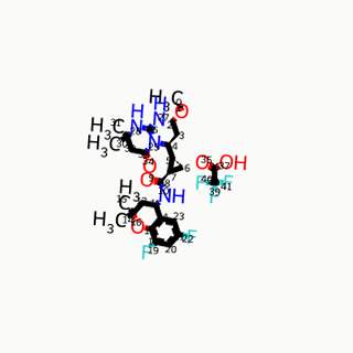 COCC[C@@H]([C@@H]1C[C@H]1C(=O)NC1CC(C)(C)Oc2c(F)cc(F)cc21)N1C(=N)NC(C)(C)CC1=O.O=C(O)C(F)(F)F